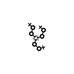 CC(C)(C)c1cccc(-c2cccc(-c3nc(-c4cccc(-c5cccc(C(C)(C)C)c5)c4)nc(-c4cccc(-c5cccc(C(C)(C)C)c5)c4)n3)c2)c1